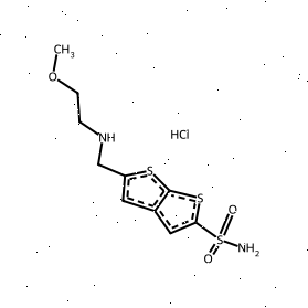 COCCNCc1cc2cc(S(N)(=O)=O)sc2s1.Cl